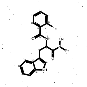 CCN(C#N)C(=O)C(Cc1c[nH]c2ccccc12)NC(=O)c1ccccc1F